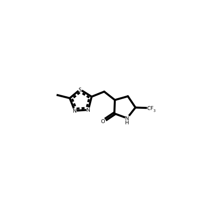 Cc1nnc(CC2CC(C(F)(F)F)NC2=O)s1